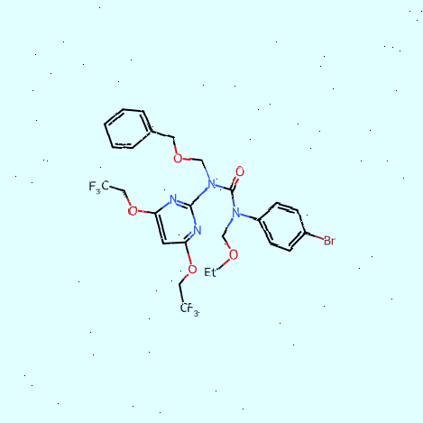 CCOCN(C(=O)N(COCc1ccccc1)c1nc(OCC(F)(F)F)cc(OCC(F)(F)F)n1)c1ccc(Br)cc1